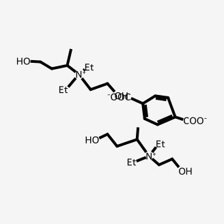 CC[N+](CC)(CCO)C(C)CCO.CC[N+](CC)(CCO)C(C)CCO.O=C([O-])c1ccc(C(=O)[O-])cc1